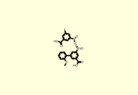 COc1ccccc1-c1cc(C(=O)O)cc([N+](=O)[O-])c1.O=C(O)c1cc(I)cc([N+](=O)[O-])c1